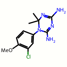 COc1ccc(N2C(N)=NC(N)=NC2(C)C)cc1Cl